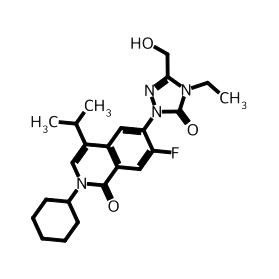 CCn1c(CO)nn(-c2cc3c(C(C)C)cn(C4CCCCC4)c(=O)c3cc2F)c1=O